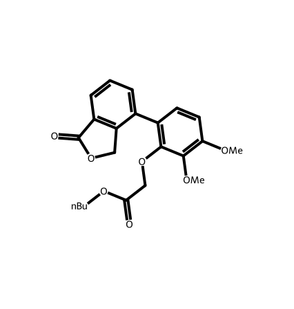 CCCCOC(=O)COc1c(-c2cccc3c2COC3=O)ccc(OC)c1OC